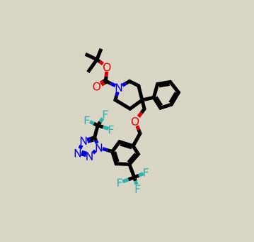 CC(C)(C)OC(=O)N1CCC(COCc2cc(-n3nnnc3C(F)(F)F)cc(C(F)(F)F)c2)(c2ccccc2)CC1